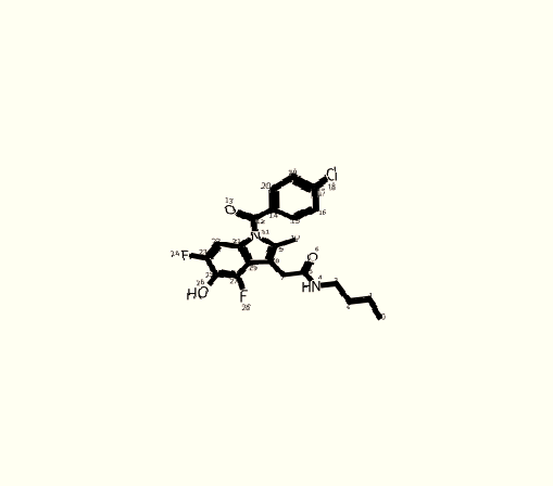 CCCCNC(=O)Cc1c(C)n(C(=O)c2ccc(Cl)cc2)c2cc(F)c(O)c(F)c12